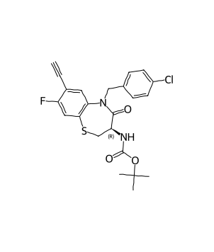 C#Cc1cc2c(cc1F)SC[C@H](NC(=O)OC(C)(C)C)C(=O)N2Cc1ccc(Cl)cc1